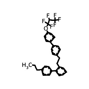 CCCc1ccc(-c2ccccc2CCc2ccc(-c3ccc(OC(F)(F)C(F)C(F)(F)F)cc3)cc2)cc1